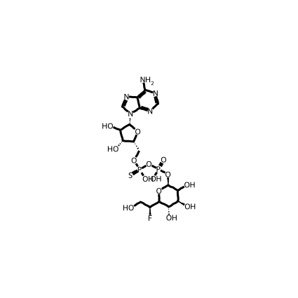 Nc1ncnc2c1ncn2[C@@H]1O[C@H](COP(O)(=S)OP(=O)(O)O[C@@H]2OC([C@@H](F)CO)[C@@H](O)[C@H](O)C2O)[C@H](O)C1O